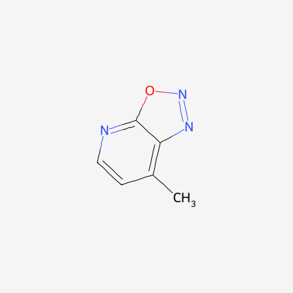 Cc1ccnc2onnc12